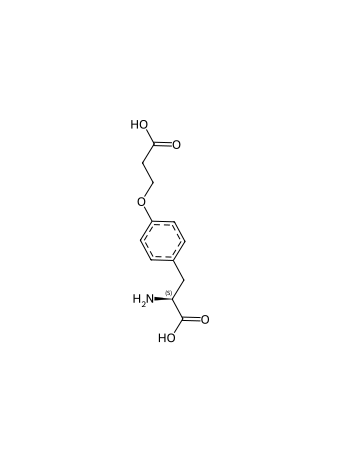 N[C@@H](Cc1ccc(OCCC(=O)O)cc1)C(=O)O